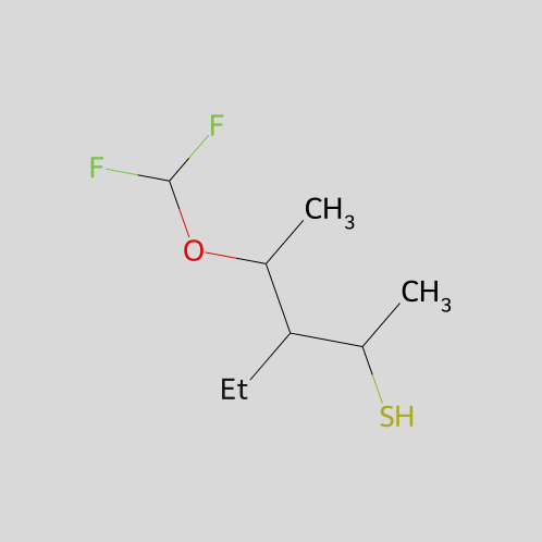 CCC(C(C)S)C(C)OC(F)F